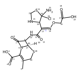 CC1=C(C(=O)O)N2C(=O)C(NC(=O)/C(=N/OCC(=O)O)C3NCSC3(N)Cl)[C@H]2SC1